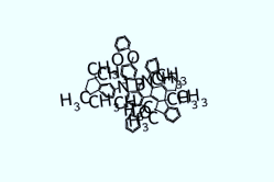 Cc1cc2c(cc1N1c3cc4c(cc3B3c5c1cc1c(oc6ccccc61)c5C1=C5C(C)(C)c6ccccc6C5(C)C5=C6C(C)(C=CC5C)c5ccccc5N3C16C)Oc1ccccc1O4)C(C)(C)CCC2(C)C